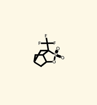 O=S1(=O)OC2CC3CC2C1(C(F)(F)F)C3